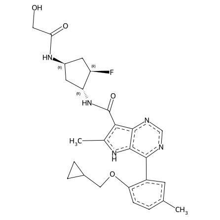 Cc1ccc(OCC2CC2)c(-c2ncnc3c(C(=O)N[C@@H]4C[C@@H](NC(=O)CO)C[C@H]4F)c(C)[nH]c23)c1